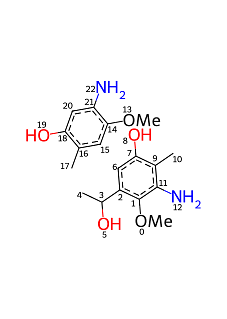 COc1c(C(C)O)cc(O)c(C)c1N.COc1cc(C)c(O)cc1N